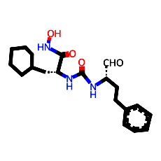 O=C[C@H](CCc1ccccc1)NC(=O)N[C@H](CC1CCCCC1)C(=O)NO